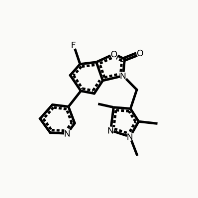 Cc1nn(C)c(C)c1Cn1c(=O)oc2c(F)cc(-c3cccnc3)cc21